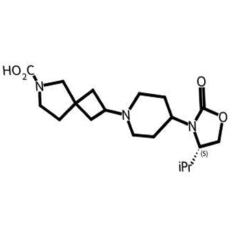 CC(C)[C@H]1COC(=O)N1C1CCN(C2CC3(CCN(C(=O)O)C3)C2)CC1